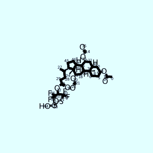 CC(=O)O[C@@H]1CC[C@@]2(C)[C@@H](C1)C[C@@H](OC=O)[C@@H]1[C@@H]2C[C@H](OC=O)[C@]2(C)[C@@H](C(C)CCC(=O)OC(C(F)(F)F)C(F)(F)SOOO)CC[C@@H]12